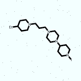 CCC1CCN(CCCN2CCN(C3CCN(I)CC3)CC2)CC1